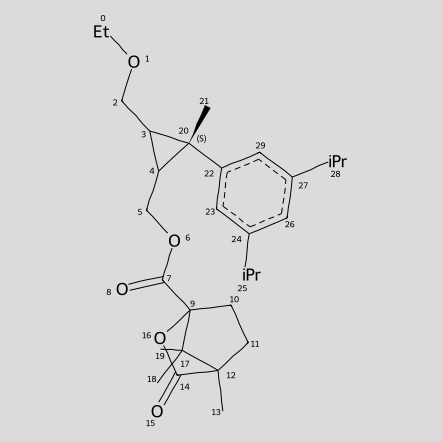 CCOCC1C(COC(=O)C23CCC(C)(C(=O)O2)C3(C)C)[C@@]1(C)c1cc(C(C)C)cc(C(C)C)c1